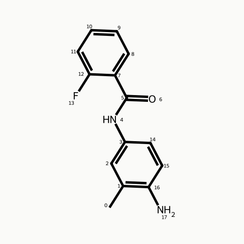 Cc1cc(NC(=O)c2ccccc2F)ccc1N